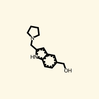 OCc1ccc2[nH]c(CN3CCCC3)cc2c1